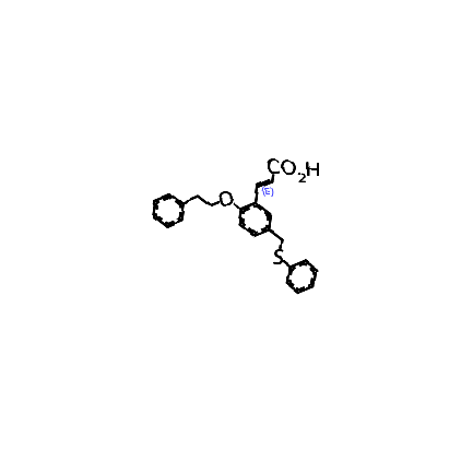 O=C(O)/C=C/c1cc(CSc2ccccc2)ccc1OCCc1ccccc1